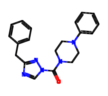 O=C(N1CCN(c2ccccc2)CC1)n1cnc(Cc2ccccc2)n1